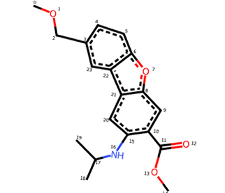 COCc1ccc2oc3cc(C(=O)OC)c(NC(C)C)cc3c2c1